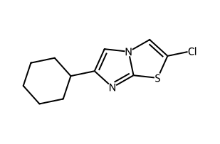 Clc1cn2cc(C3CCCCC3)nc2s1